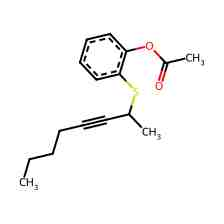 CCCCC#CC(C)Sc1ccccc1OC(C)=O